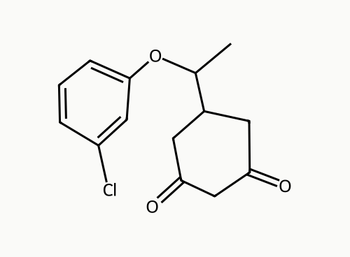 CC(Oc1cccc(Cl)c1)C1CC(=O)CC(=O)C1